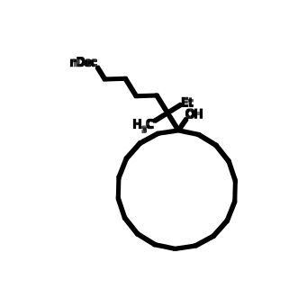 CCCCCCCCCCCCCCC(C)(CC)C1(O)CCCCCCCCCCCCCCCCC1